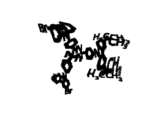 CC(C)(C)c1ccc2c(c1)c1cc(C(C)(C)C)ccc1n2-c1ccc(-c2nc(-c3ccc(-n4c5ccccc5c5cc(Br)ccc54)cc3)nc(-c3ccc(-n4c5ccccc5c5cc(Br)ccc54)cc3)n2)cc1